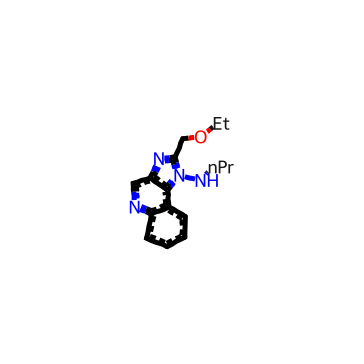 CCCNn1c(COCC)nc2cnc3ccccc3c21